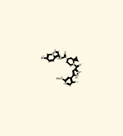 COc1cc(-c2cc(C(=O)N3CC[C@H](C(=O)Nc4cnn5cc(Br)ccc45)CC34CC4)n[nH]2)c(F)cn1